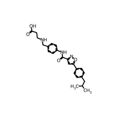 CC(C)Cc1ccc(-c2cc(C(=O)Nc3ccc(CNCCC(=O)O)cc3)no2)cc1